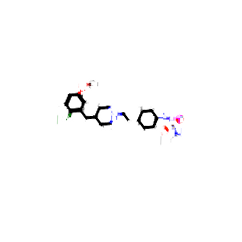 CNS(=O)(=O)N[C@H]1CC[C@H](CCN2CCC(Cc3cc(OC)ccc3Br)CC2)CC1